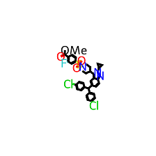 COC(=O)c1ccc(S(=O)(=O)N2CCC(c3c4cc(C(c5ccc(Cl)cc5)c5ccc(Cl)cc5)ccc4nn3C3CC3)CC2)cc1F